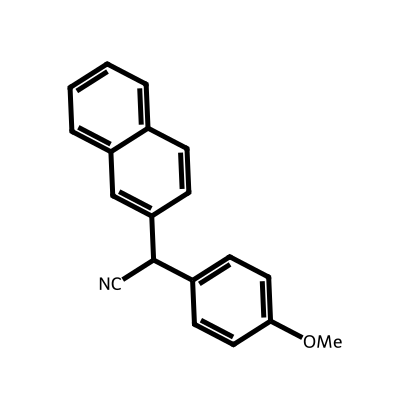 COc1ccc(C(C#N)c2ccc3ccccc3c2)cc1